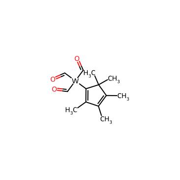 CC1=C(C)C(C)(C)[C]([W]([CH]=O)([CH]=O)[CH]=O)=C1C